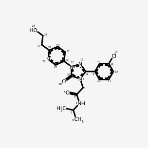 CC(C)NC(=O)Cn1c(-c2cccc(Cl)c2)nn(-c2ccc(CCO)nc2)c1=O